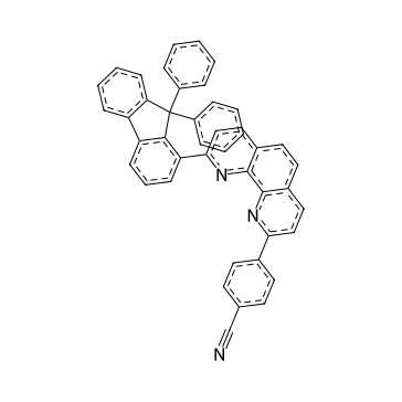 N#Cc1ccc(-c2ccc3ccc4ccc(-c5cccc6c5C(c5ccccc5)(c5ccccc5)c5ccccc5-6)nc4c3n2)cc1